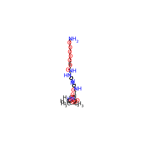 COC(=O)[C@@H](CCCC(=O)Nc1ccc(/N=N/c2ccc(NCCNC(=O)CCOCCOCCOCCOCCOCCOCCN)cc2)cc1)C[C@H](NC(=O)OC(C)(C)C)C(=O)OC